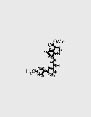 COC(=O)c1ccnc2c(CCNc3cc(-c4cnc(C)nc4)ncn3)cccc12